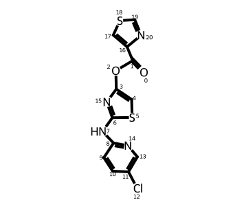 O=C(Oc1csc(Nc2ccc(Cl)cn2)n1)c1cscn1